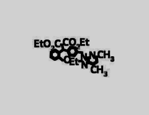 CCOC(=O)C(C(=O)OCC)C1c2ccccc2COc2cc(Cn3c(CC)nc4c(C)cc(C)nc43)ccc21